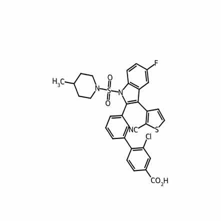 CC1CCN(S(=O)(=O)n2c(-c3cccc(-c4ccc(C(=O)O)cc4Cl)c3)c(-c3ccsc3C#N)c3cc(F)ccc32)CC1